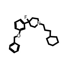 FC1(c2cccc(OCc3ccccc3)c2)CCN(CCCC2CCCCC2)CC1